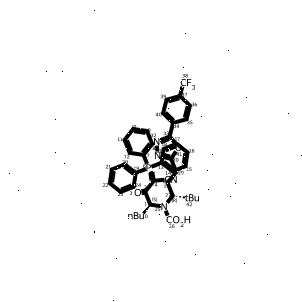 CCCC[C@@H](C(=O)C(C#N)=P(c1ccccc1)(c1ccccc1)c1ccccc1)N(C(=O)O)[C@H](CCc1nnc(-c2ccc(C(F)(F)F)cc2)o1)C(C)(C)C